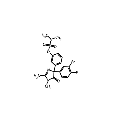 CN1C(=O)C(c2cccc(OS(=O)(=O)N(C)C)c2)(c2ccc(F)c(Br)c2)N=C1N